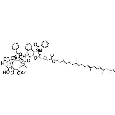 CC(=O)O[C@H]1C(=O)[C@@]2(C)[C@H](C(CC(=O)c3ccccc3)[C@]3(O)CC(OC(=O)C(OC(=O)COCC(=O)OCC/C(C)=C/CC/C(C)=C/CC/C=C(\C)CC/C=C(\C)CCC=C(C)C)[C@@H](NC(=O)c4ccccc4)c4ccccc4)C(C)=C1C3(C)C)[C@]1(OC(C)=O)CO[C@@H]1C[C@@H]2O